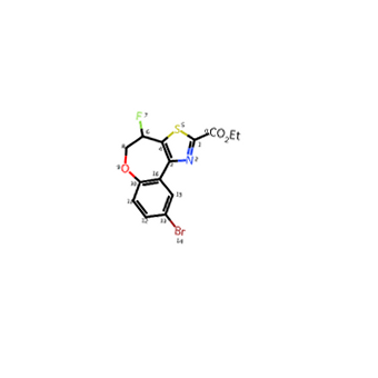 CCOC(=O)c1nc2c(s1)C(F)COc1ccc(Br)cc1-2